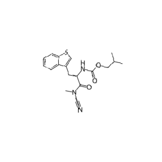 CC(C)COC(=O)NC(Cc1csc2ccccc12)C(=O)N(C)C#N